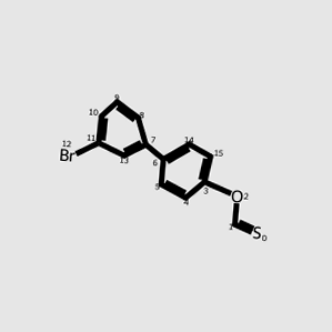 S=COc1ccc(-c2[c]ccc(Br)c2)cc1